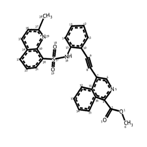 COC(=O)c1ncc(C#Cc2ccccc2NS(=O)(=O)c2cccc3ccc(C)nc23)c2ccccc12